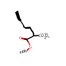 C#CCCC(C(=O)OCC)C(=O)OC(C)(C)C